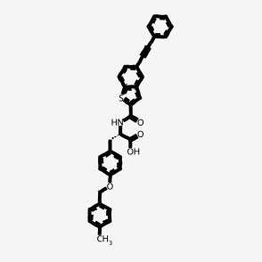 Cc1ccc(COc2ccc(C[C@H](NC(=O)c3cc4cc(C#Cc5ccccc5)ccc4s3)C(=O)O)cc2)cc1